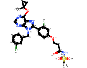 CC1(Oc2ncnc3c2nc(-c2ccc(OCCC(=O)NS(C)(=O)=O)cc2Cl)n3Cc2cccc(Cl)c2)CC1